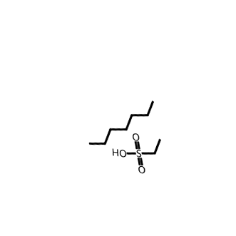 CCCCCCC.CCS(=O)(=O)O